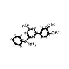 CC(=O)Oc1ccc(-c2nc(O)nc(N(N)c3ccccc3)n2)cc1OC(C)=O